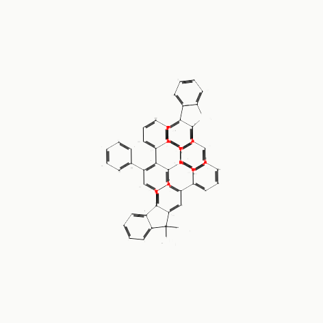 CC1(C)c2ccccc2-c2ccc(-c3ccccc3N(c3ccc4c(c3)oc3ccccc34)c3cccc(-c4ccccc4)c3-c3ccccc3-c3ccccc3)cc21